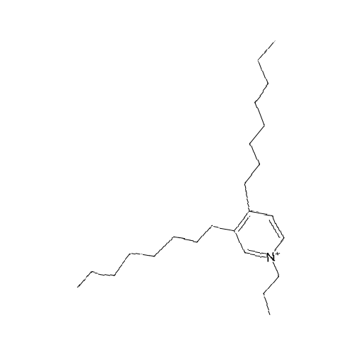 CCCCCCCCc1cc[n+](CCC)cc1CCCCCCCC